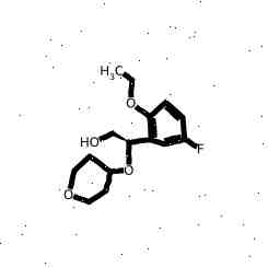 CCOc1ccc(F)cc1[C@H](CO)OC1CCOCC1